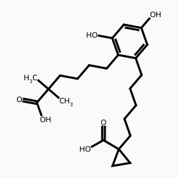 CC(C)(CCCCc1c(O)cc(O)cc1CCCCCC1(C(=O)O)CC1)C(=O)O